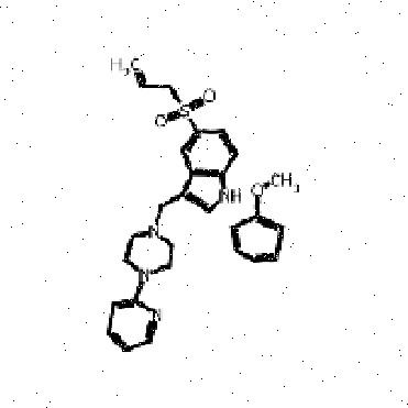 C=CCS(=O)(=O)c1ccc2[nH]cc(CN3CCN(c4ccccn4)CC3)c2c1.COc1ccccc1